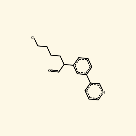 O=CC(CCCCCl)c1cccc(-c2cccnc2)c1